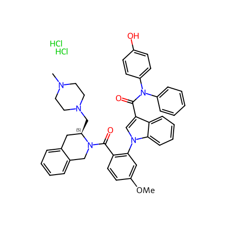 COc1ccc(C(=O)N2Cc3ccccc3C[C@H]2CN2CCN(C)CC2)c(-n2cc(C(=O)N(c3ccccc3)c3ccc(O)cc3)c3ccccc32)c1.Cl.Cl